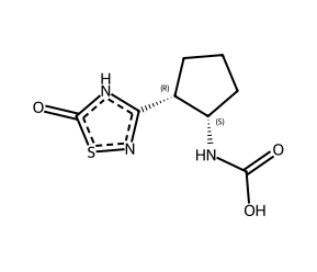 O=C(O)N[C@H]1CCC[C@H]1c1nsc(=O)[nH]1